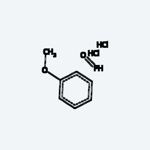 COc1ccccc1.Cl.Cl.O=P